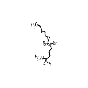 CCSCC[O][Sn]([Br])([Br])[CH2]CCC(C)N